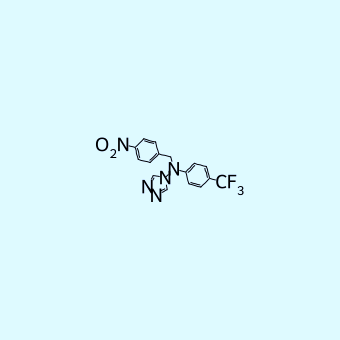 O=[N+]([O-])c1ccc(CN(c2ccc(C(F)(F)F)cc2)n2cnnc2)cc1